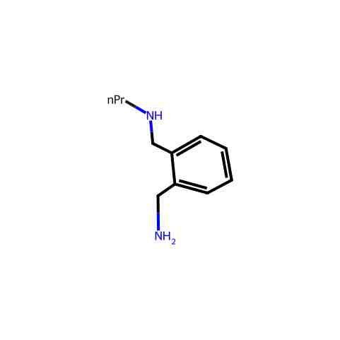 CCCNCc1ccccc1CN